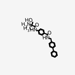 C[C@](N)(CO)C(=O)Nc1ccc(C(=O)NCc2ccc(-c3ccccc3)cc2)cc1